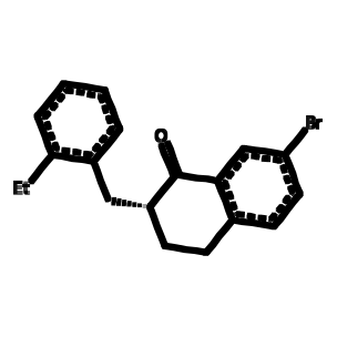 CCc1ccccc1C[C@H]1CCc2ccc(Br)cc2C1=O